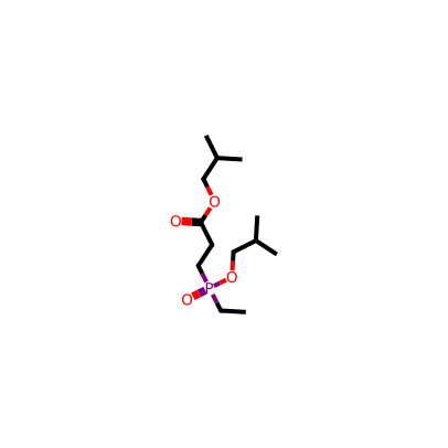 CCP(=O)(CCC(=O)OCC(C)C)OCC(C)C